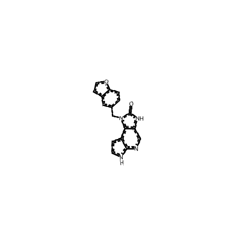 O=c1[nH]c2cnc3[nH]ccc3c2n1Cc1ccc2occc2c1